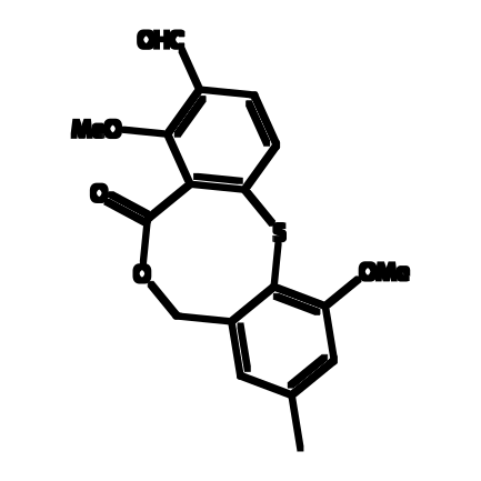 COc1cc(C)cc2c1Sc1ccc(C=O)c(OC)c1C(=O)OC2